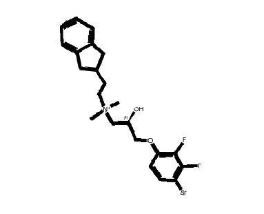 C[N+](C)(CCC1Cc2ccccc2C1)C[C@@H](O)COc1ccc(Br)c(F)c1F